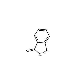 S=C1O[CH]c2ccccc21